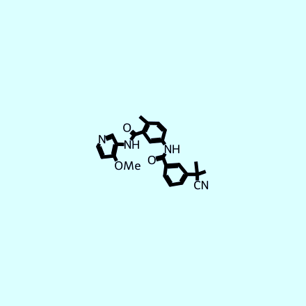 COc1ccncc1NC(=O)c1cc(NC(=O)c2cccc(C(C)(C)C#N)c2)ccc1C